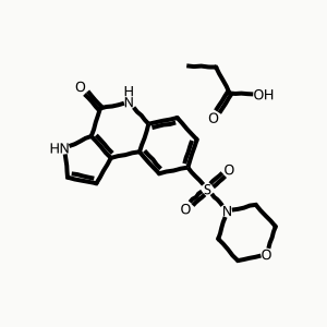 CCC(=O)O.O=c1[nH]c2ccc(S(=O)(=O)N3CCOCC3)cc2c2cc[nH]c12